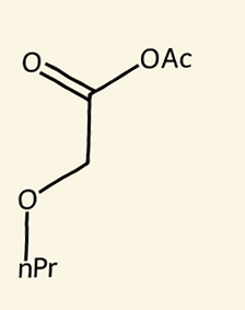 CCCOCC(=O)OC(C)=O